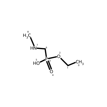 CCOP(=O)(O)CNC